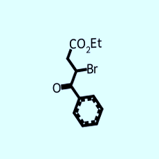 CCOC(=O)CC(Br)C(=O)c1ccccc1